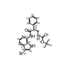 CC(C)(C)OC(=O)NC[C@@H](C(=O)Nc1ncnc2c(Br)c[nH]c12)c1ccccc1